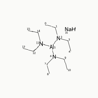 CC[N](CC)[Al]([N](CC)CC)[N](CC)CC.[NaH]